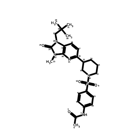 CC(=O)Nc1ccc(S(=O)(=O)N2CCCC(c3ccc4c(n3)n(C)c(=O)n4CC(C)(C)C)C2)cc1